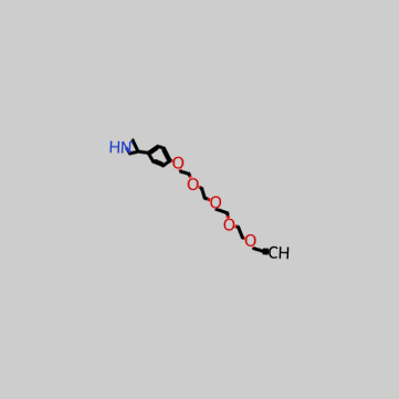 C#CCOCCOCCOCCOCCOc1ccc(C2CNC2)cc1